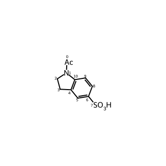 CC(=O)N1CCc2cc(S(=O)(=O)O)ccc21